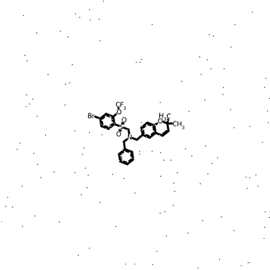 CC1(C)C=Cc2cc(CN(Cc3ccccc3)CS(=O)(=O)c3ccc(Br)cc3OC(F)(F)F)ccc2O1